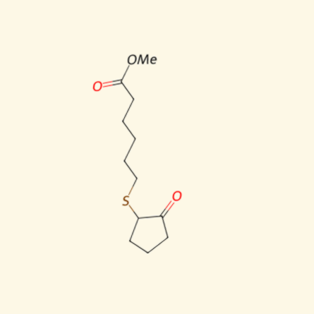 COC(=O)CCCCCSC1CCCC1=O